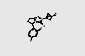 O=c1n(C23CC(F)(C2)C3)nc2n1C(c1ccc(F)cc1F)CC2